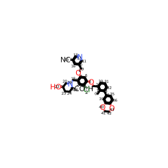 Cc1c(COc2cc(OCc3cncc(C#N)c3)c(CN3CC(O)CC[C@H]3C(=O)O)cc2Cl)cccc1-c1ccc2c(c1)OCCO2